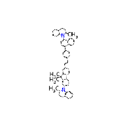 CC1CCC2=C(C=CCC2)N1c1ccc2c(c1)C(C)(C)c1cc(/C=C/c3ccc(-c4ccc(N5c6ccccc6CCC5C)c5ccccc45)cc3)ccc1-2